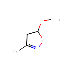 CCCCOC1CC(C(C)(C)C)=NO1